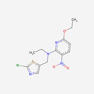 CCOc1ccc([N+](=O)[O-])c(N(CC)Cc2cnc(Br)s2)n1